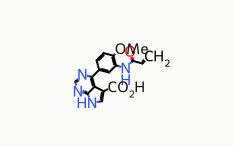 C=CC(=O)Nc1cc(-c2ncnc3[nH]cc(C(=O)O)c23)ccc1OC